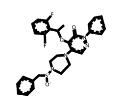 CC(Oc1c(N2CCN([S+]([O-])Cc3ccccc3)CC2)cnn(-c2ccccc2)c1=O)c1c(F)cccc1F